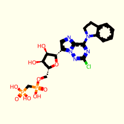 O=P(O)(O)CP(=O)(O)OC[C@H]1O[C@@H](c2cnc3c(N4CCc5ccccc54)nc(Cl)nn23)[C@H](O)[C@@H]1O